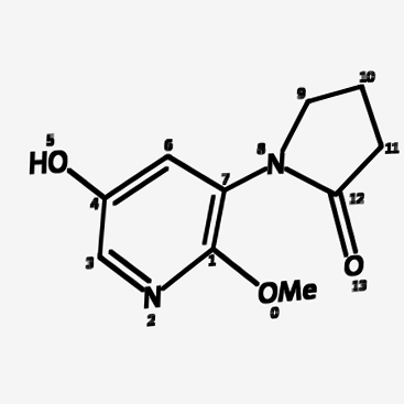 COc1ncc(O)cc1N1CCCC1=O